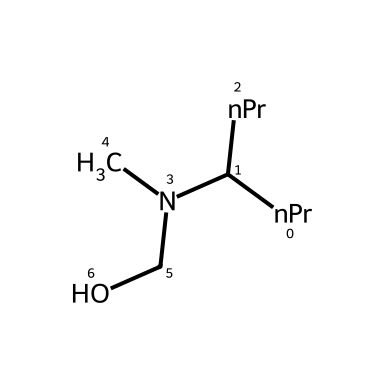 CCCC(CCC)N(C)CO